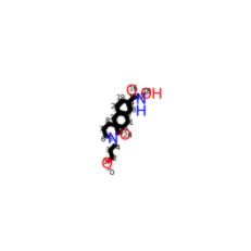 COCCCN1CCCC2(CCc3cc(C(=O)NO)ccc3C2)C1=O